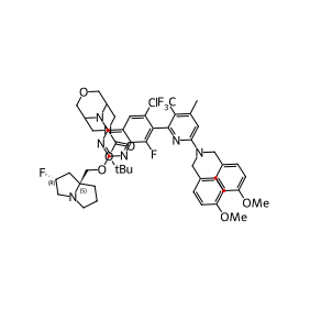 COc1ccc(CN(Cc2ccc(OC)cc2)c2cc(C)c(C(F)(F)F)c(-c3c(Cl)cc4c(N5C6COCC5CN(C(=O)OC(C)(C)C)C6)nc(OC[C@@]56CCCN5C[C@H](F)C6)nc4c3F)n2)cc1